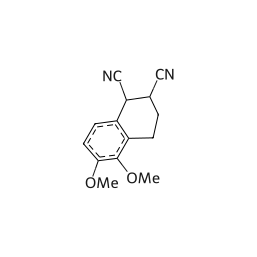 COc1ccc2c(c1OC)CCC(C#N)C2C#N